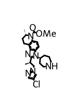 COC(=O)N1c2ccc3c(nc([C@H](C)Cn4cc(Cl)cn4)n3[C@H]3CCCNCC3)c2CC[C@@H]1C